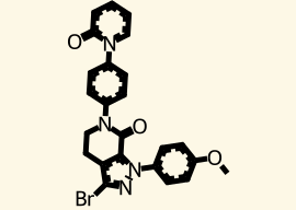 COc1ccc(-n2nc(Br)c3c2C(=O)N(c2ccc(-n4ccccc4=O)cc2)CC3)cc1